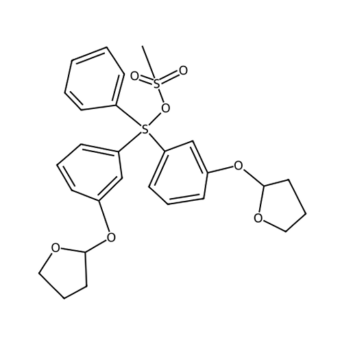 CS(=O)(=O)OS(c1ccccc1)(c1cccc(OC2CCCO2)c1)c1cccc(OC2CCCO2)c1